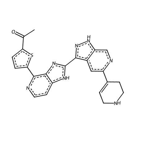 CC(=O)c1ccc(-c2nccc3[nH]c(-c4n[nH]c5cnc(C6=CCNCC6)cc45)nc23)s1